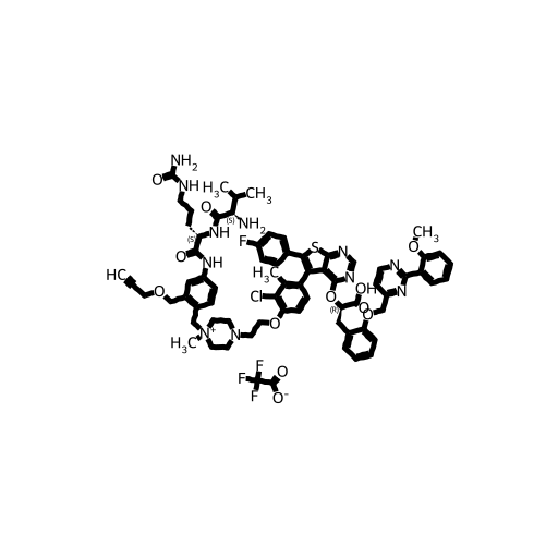 C#CCOCc1cc(NC(=O)[C@H](CCCNC(N)=O)NC(=O)[C@@H](N)C(C)C)ccc1C[N+]1(C)CCN(CCOc2ccc(-c3c(-c4ccc(F)cc4)sc4ncnc(O[C@H](Cc5ccccc5OCc5ccnc(-c6ccccc6OC)n5)C(=O)O)c34)c(C)c2Cl)CC1.O=C([O-])C(F)(F)F